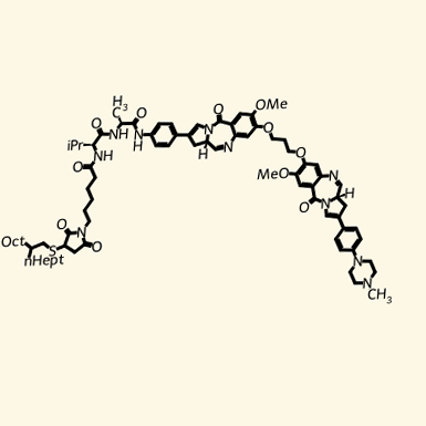 CCCCCCCCC(CCCCCCC)CSC1CC(=O)N(CCCCCC(=O)N[C@H](C(=O)N[C@@H](C)C(=O)Nc2ccc(C3=CN4C(=O)c5cc(OC)c(OCCCOc6cc7c(cc6OC)C(=O)N6C=C(c8ccc(N9CCN(C)CC9)cc8)C[C@H]6C=N7)cc5N=C[C@@H]4C3)cc2)C(C)C)C1=O